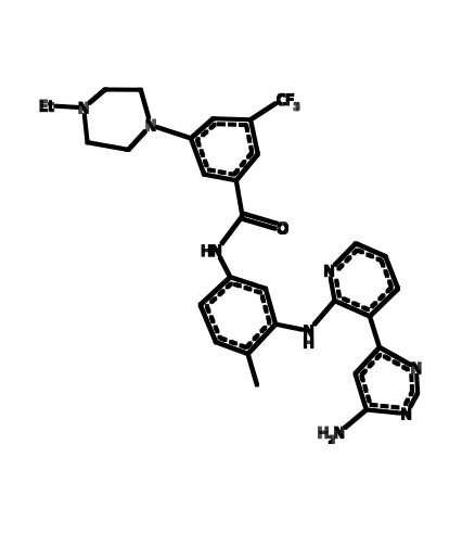 CCN1CCN(c2cc(C(=O)Nc3ccc(C)c(Nc4ncccc4-c4cc(N)ncn4)c3)cc(C(F)(F)F)c2)CC1